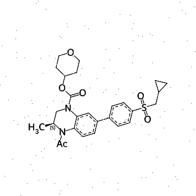 CC(=O)N1c2ccc(-c3ccc(S(=O)(=O)CC4CC4)cc3)cc2N(C(=O)OC2CCOCC2)C[C@@H]1C